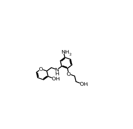 Nc1ccc(OCCO)c(NCC2OC=CC=C2O)c1